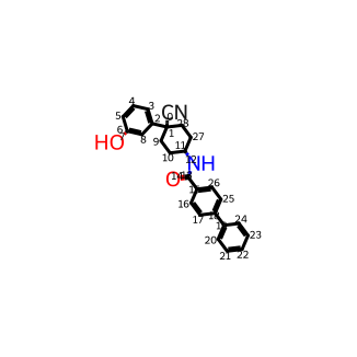 N#CC1(c2cccc(O)c2)CCC(NC(=O)c2ccc(-c3ccccc3)cc2)CC1